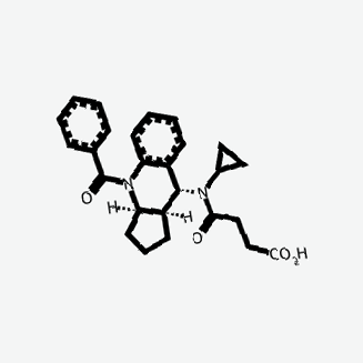 O=C(O)CCC(=O)N(C1CC1)[C@H]1c2ccccc2N(C(=O)c2ccccc2)[C@@H]2CCC[C@@H]21